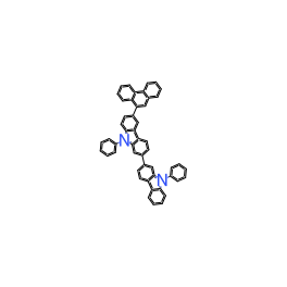 c1ccc(-n2c3ccccc3c3ccc(-c4ccc5c6cc(-c7cc8ccccc8c8ccccc78)ccc6n(-c6ccccc6)c5c4)cc32)cc1